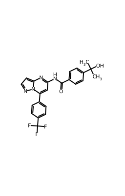 CC(C)(O)c1ccc(C(=O)Nc2cc(-c3ccc(C(F)(F)F)cc3)n3nccc3n2)cc1